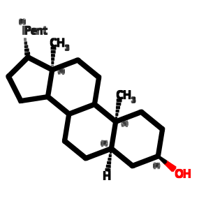 CCC[C@@H](C)C1CCC2C3CC[C@@H]4C[C@H](O)CC[C@]4(C)C3CC[C@@]21C